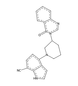 N#Cc1ccc(N2CCCC(n3cnc4ccccc4c3=O)C2)c2cc[nH]c12